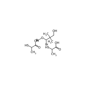 CC(C)(CO)C(Br)OBr.CC(S)C(=O)O.CC(S)C(=O)O